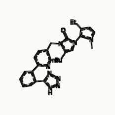 CCCCc1cn(-c2c(CC)ccn2C)c(=O)n1Cc1ccc(-c2ccccc2-c2nnn[nH]2)nc1